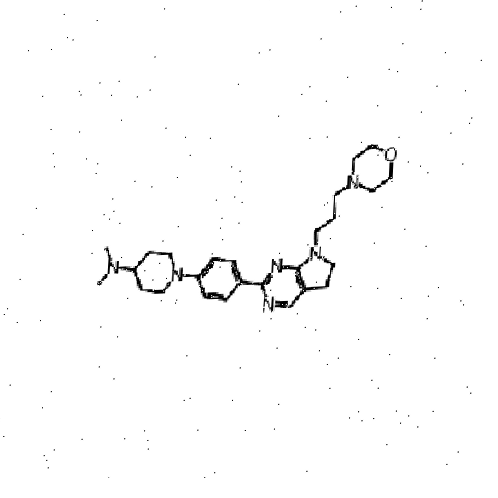 CN(C)C1CCN(c2ccc(-c3ncc4c(n3)N(CCCN3CCOCC3)CC4)cc2)CC1